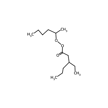 CCCCC(C)OOC(=O)CC(CC)CCC